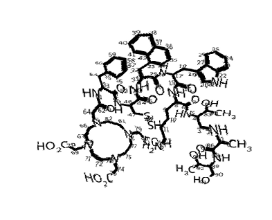 CC(NCC(NC(=O)C(CCCCN)NC(=O)C(Cc1c[nH]c2ccccc12)NC(=O)C(Cc1cccc2ccccc12)NC(=O)C(CSS)NC(=O)C(Cc1ccccc1)NC(=O)CN1CCN(CC(=O)O)CCN(CC(=O)O)CCN(CC(=O)O)CC1)C(C)O)C(=O)NC(CO)C(C)O